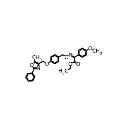 CCOC(=O)/C(=N\OCc1ccc(OCc2nc(-c3ccccc3)oc2C)cc1)c1ccc(OC)cc1